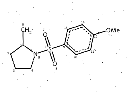 [CH2]C1CCCN1S(=O)(=O)c1ccc(OC)cc1